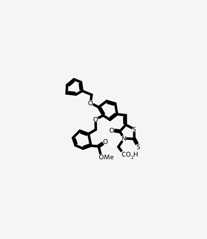 COC(=O)c1ccccc1COc1cc(C=C2SC(=S)N(CC(=O)O)C2=O)ccc1OCc1ccccc1